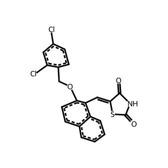 O=C1NC(=O)C(=Cc2c(OCc3ccc(Cl)cc3Cl)ccc3ccccc23)S1